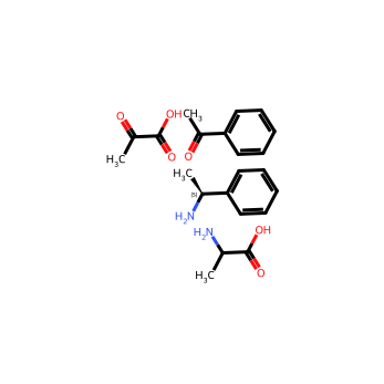 CC(=O)C(=O)O.CC(=O)c1ccccc1.CC(N)C(=O)O.C[C@H](N)c1ccccc1